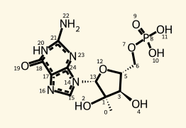 C[C@@]1(O)[C@H](O)[C@@H](COP(=O)(O)O)O[C@H]1n1cnc2c(=O)[nH]c(N)nc21